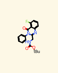 CC(C)(C)OC(=O)NCc1nc2cccc(F)c2c(=O)n1-c1ccccc1